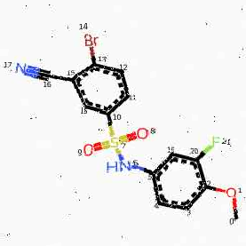 COc1ccc(NS(=O)(=O)c2ccc(Br)c(C#N)c2)cc1F